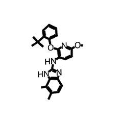 COc1ccc(Nc2nc3ccc(C)c(C)c3[nH]2)c(Oc2ccccc2C(C)(C)C)n1